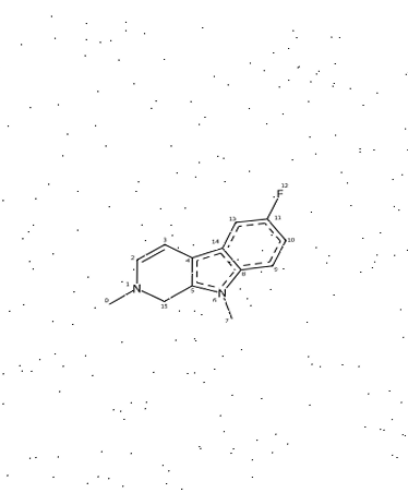 CN1C=Cc2c(n(C)c3ccc(F)cc23)C1